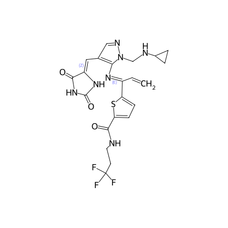 C=C/C(=N\c1c(/C=C2\NC(=O)NC2=O)cnn1CNC1CC1)c1ccc(C(=O)NCCC(F)(F)F)s1